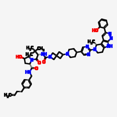 C=CCCc1ccc(CNC(=O)[C@@H]2C[C@@H](O)CN2C(=O)[C@@H](NC(=O)N2CC3(CC(N4CCC(c5cnc(N6CCc7[nH]c8nnc(-c9ccccc9O)cc8c7[C@H]6C)nc5)CC4)C3)C2)C(C)(C)C)cc1